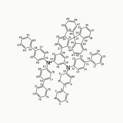 C1=C(c2ccccc2)CCC(N(c2ccc(-c3ccccc3)cc2)c2cc(-c3ccc4c(c3)C3(c5ccccc5-c5ccccc53)c3ccccc3-4)cc(N(c3ccc(-c4ccccc4)cc3)c3ccc(-c4ccccc4)cc3)c2)=C1